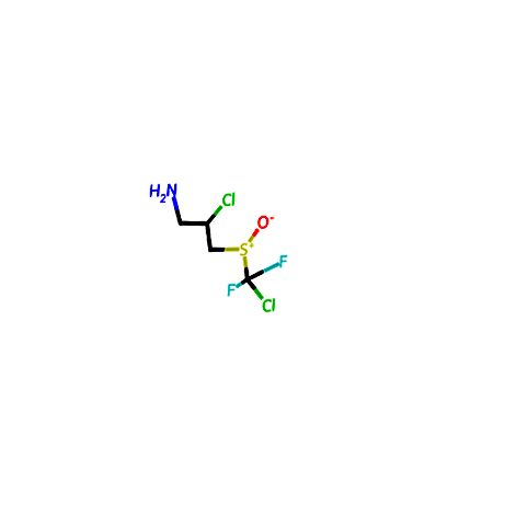 NCC(Cl)C[S+]([O-])C(F)(F)Cl